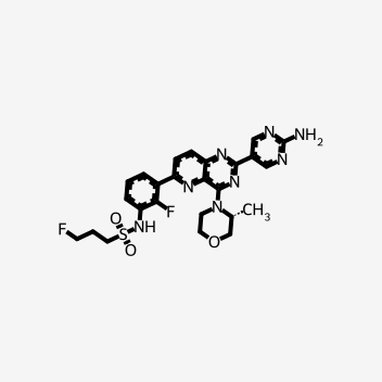 C[C@@H]1COCCN1c1nc(-c2cnc(N)nc2)nc2ccc(-c3cccc(NS(=O)(=O)CCCF)c3F)nc12